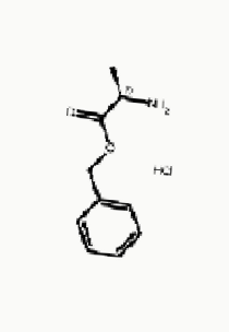 C[C@@H](N)C(=O)OCc1ccccc1.Cl